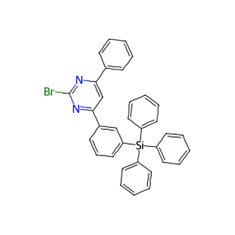 Brc1nc(-c2ccccc2)cc(-c2cccc([Si](c3ccccc3)(c3ccccc3)c3ccccc3)c2)n1